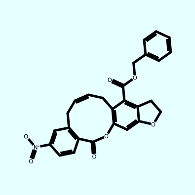 O=C1Oc2cc3c(c(C(=O)OCc4ccccc4)c2C/C=C\Cc2cc([N+](=O)[O-])ccc21)CCO3